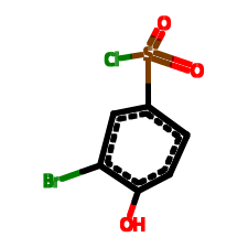 O=S(=O)(Cl)c1ccc(O)c(Br)c1